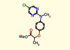 COC(=O)C(C)Oc1ccc(N(C)c2ncc(Cl)cn2)cc1